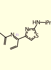 C=C/C(=N\C(=C)C)c1csc(NC(C)C)n1